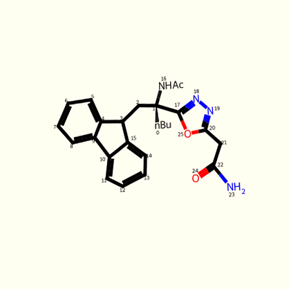 CCCC[C@@](CC1c2ccccc2-c2ccccc21)(NC(C)=O)c1nnc(CC(N)=O)o1